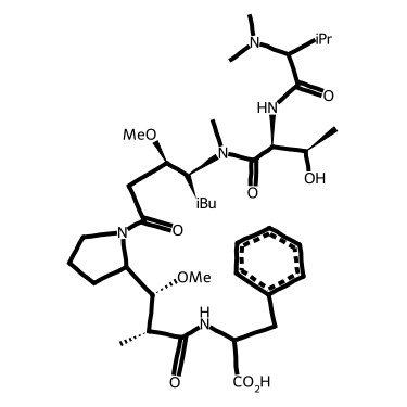 CC[C@H](C)[C@@H]([C@@H](CC(=O)N1CCCC1[C@H](OC)[C@@H](C)C(=O)NC(Cc1ccccc1)C(=O)O)OC)N(C)C(=O)[C@@H](NC(=O)C(C(C)C)N(C)C)[C@@H](C)O